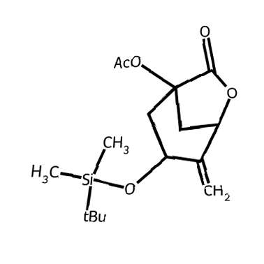 C=C1C2CC(OC(C)=O)(CC1O[Si](C)(C)C(C)(C)C)C(=O)O2